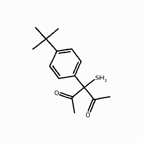 CC(=O)C([SiH3])(C(C)=O)c1ccc(C(C)(C)C)cc1